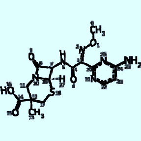 CON=C(C(=O)NC1C(=O)N2CC(C)(C(=O)O)CS[C@H]12)c1nccc(N)n1